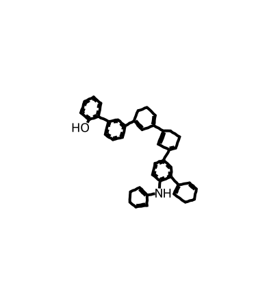 Oc1ccccc1-c1cccc(C2=CC(C3=CC(c4ccc(NC5=CCCC=C5)c(C5=CCCC=C5)c4)=CCC3)=CCC2)c1